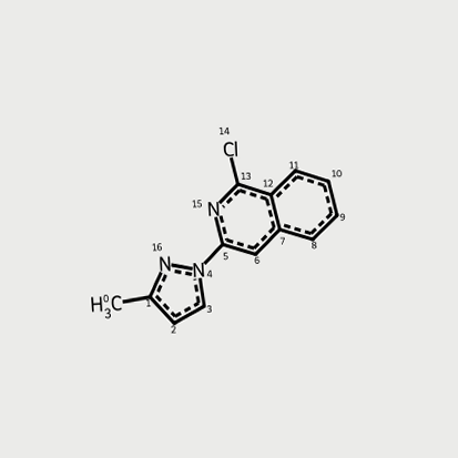 Cc1ccn(-c2cc3ccccc3c(Cl)n2)n1